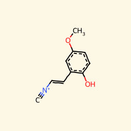 [C-]#[N+]C=Cc1cc(OC)ccc1O